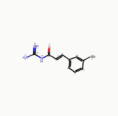 CCCCc1cccc(/C=C/C(=O)NC(=N)N)c1